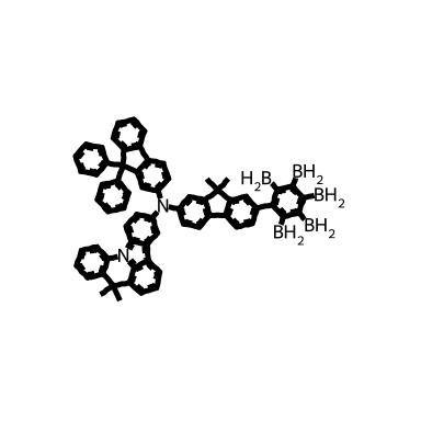 Bc1c(B)c(B)c(-c2ccc3c(c2)C(C)(C)c2cc(N(c4ccc5c(c4)C(c4ccccc4)(c4ccccc4)c4ccccc4-5)c4ccc5c(c4)c4cccc6c4n5-c4ccccc4C6(C)C)ccc2-3)c(B)c1B